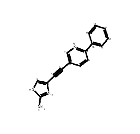 Nc1nc(C#Cc2ccc(-c3ccccc3)nc2)cs1